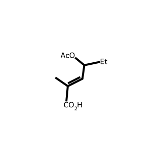 CCC(C=C(C)C(=O)O)OC(C)=O